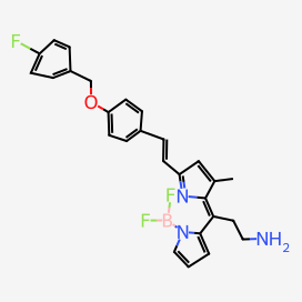 CC1=CC(/C=C/c2ccc(OCc3ccc(F)cc3)cc2)=NC/1=C(/CCN)c1cccn1B(F)F